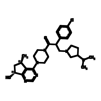 C[C@@H]1C[C@@H](O)c2ncnc(N3CCN(C(=O)C(CN4CCC(N(C)C)C4)c4ccc(Cl)cc4)CC3)c21